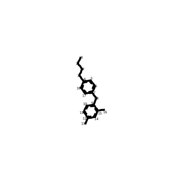 CCCCc1ccc([CH]c2ccc(C)cc2C)cc1